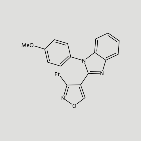 CCc1nocc1-c1nc2ccccc2n1-c1ccc(OC)cc1